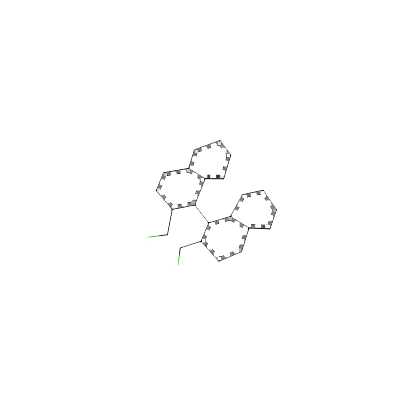 ClCc1ccc2ccccc2c1-c1c(CCl)ccc2ccccc12